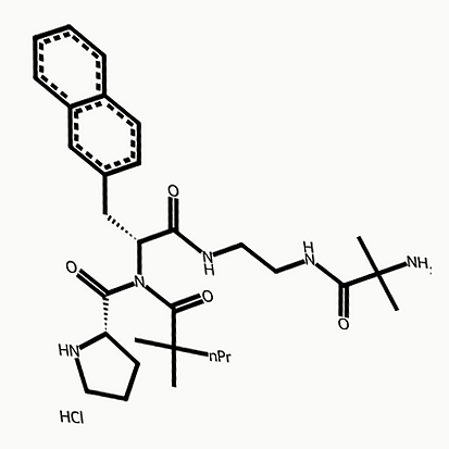 CCCC(C)(C)C(=O)N(C(=O)[C@@H]1CCCN1)[C@H](Cc1ccc2ccccc2c1)C(=O)NCCNC(=O)C(C)(C)N.Cl